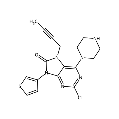 CC#CCn1c(=O)n(-c2ccsc2)c2nc(Cl)nc(N3CCNCC3)c21